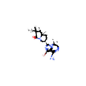 Cc1cnc(N)c2c(Br)nc([C@H]3CC[C@@H]4CC(C)(C)C(=O)N4C3)n12